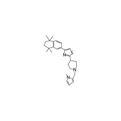 Cn1cccc1CN1CCC(c2nc(-c3ccc4c(c3)C(C)(C)CCC4(C)C)cs2)CC1